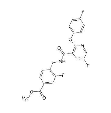 COC(=O)c1ccc(CNC(=O)c2cc(F)cnc2Oc2ccc(F)cc2)c(F)c1